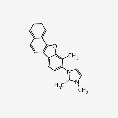 Cc1c(N2C=CN(C)[C@@H]2C)ccc2c1oc1c3ccccc3ccc21